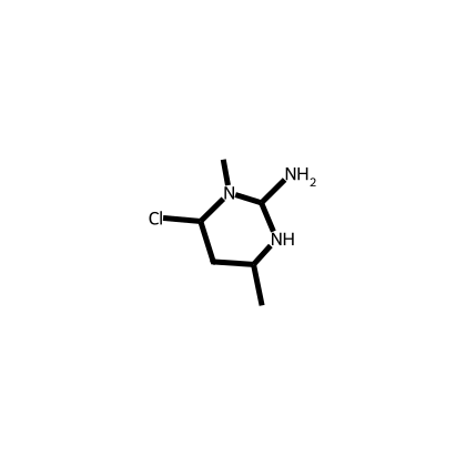 CC1CC(Cl)N(C)C(N)N1